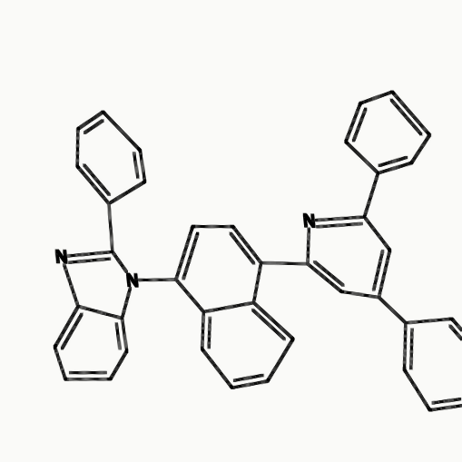 c1ccc(-c2cc(-c3ccccc3)nc(-c3ccc(-n4c(-c5ccccc5)nc5ccccc54)c4ccccc34)c2)cc1